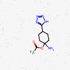 NC1(OC(=O)C(F)(F)F)CCC(c2nnn[nH]2)CC1